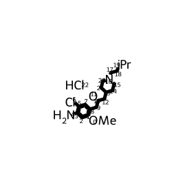 COc1cc(N)c(Cl)cc1CC(=O)CC1CCN(CCC(C)C)CC1.Cl